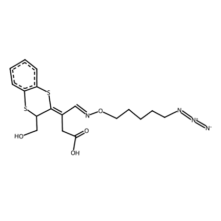 [N-]=[N+]=NCCCCCO/N=C/C(CC(=O)O)=C1\Sc2ccccc2SC1CO